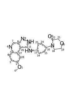 COc1ccc2ncc3n[nH]c(Nc4ccc(N5CCOCC5=O)cc4)c3c2c1